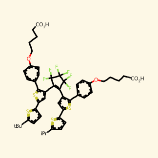 CC(C)c1ccc(-c2cc(C3=C(c4cc(-c5ccc(C(C)(C)C)s5)sc4-c4ccc(OCCCCC(=O)O)cc4)C(F)(F)C(F)(F)C3(F)F)c(-c3ccc(OCCCCC(=O)O)cc3)s2)s1